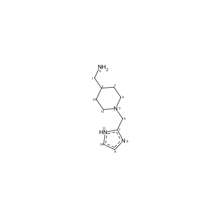 NCC1CCN(Cc2ncc[nH]2)CC1